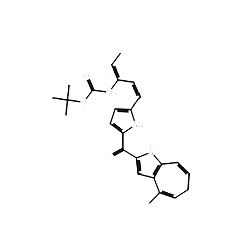 C/C=C(\C=C/c1ccc(C(=O)c2cc3c([nH]2)C=CCC=C3C)[nH]1)NC(=O)OC(C)(C)C